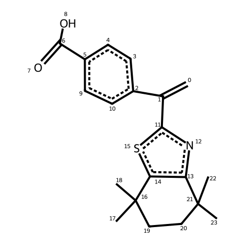 C=C(c1ccc(C(=O)O)cc1)c1nc2c(s1)C(C)(C)CCC2(C)C